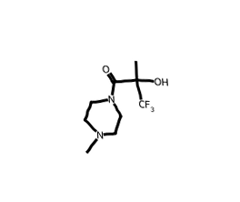 CN1CCN(C(=O)C(C)(O)C(F)(F)F)CC1